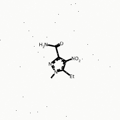 CCc1c([N+](=O)[O-])c(C(N)=O)nn1C